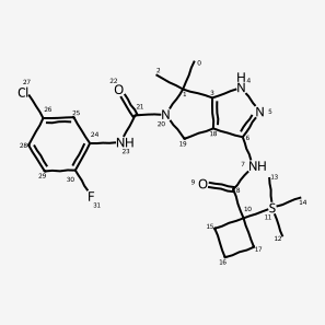 CC1(C)c2[nH]nc(NC(=O)C3(S(C)(C)C)CCC3)c2CN1C(=O)Nc1cc(Cl)ccc1F